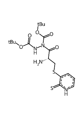 CC(C)(C)OC(=O)NN(C(=O)OC(C)(C)C)C(=O)[C@@H](N)CSc1ccc[nH]c1=S